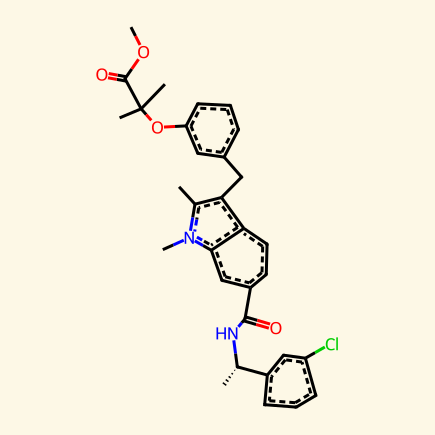 COC(=O)C(C)(C)Oc1cccc(Cc2c(C)n(C)c3cc(C(=O)N[C@@H](C)c4cccc(Cl)c4)ccc23)c1